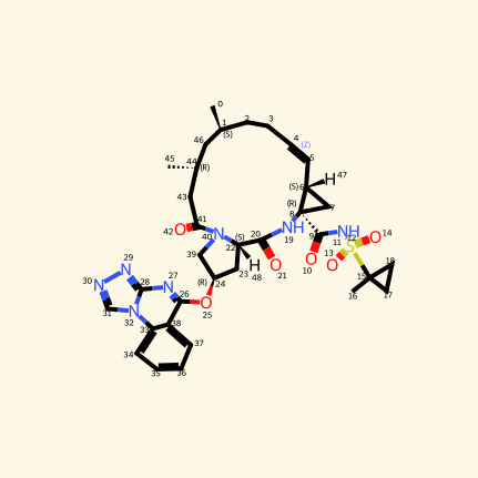 C[C@H]1CC/C=C\[C@@H]2C[C@@]2(C(=O)NS(=O)(=O)C2(C)CC2)NC(=O)[C@@H]2C[C@@H](Oc3nc4nncn4c4ccccc34)CN2C(=O)C[C@H](C)C1